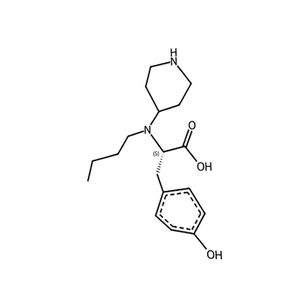 CCCCN(C1CCNCC1)[C@@H](Cc1ccc(O)cc1)C(=O)O